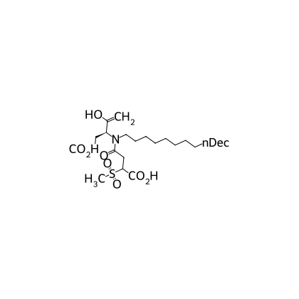 C=C(O)[C@H](CC(=O)O)N(CCCCCCCCCCCCCCCCCC)C(=O)CC(C(=O)O)S(C)(=O)=O